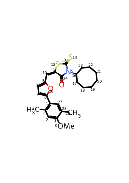 COc1cc(C)c(-c2ccc(/C=C3/SC(=S)N(C4CCCCCCC4)C3=O)o2)cc1C